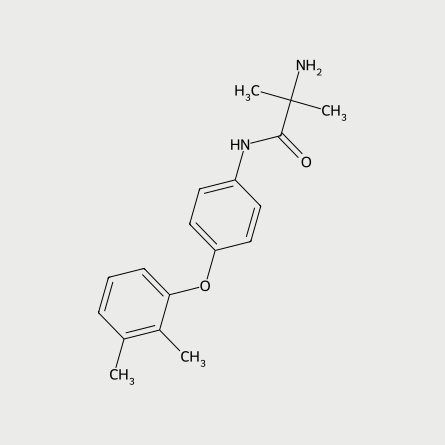 Cc1cccc(Oc2ccc(NC(=O)C(C)(C)N)cc2)c1C